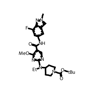 CCN(c1ncc(C(=O)Nc2cc(F)c3nn(C)cc3c2)c(OC)n1)C1CCN(C(=O)OC(C)(C)C)CC1